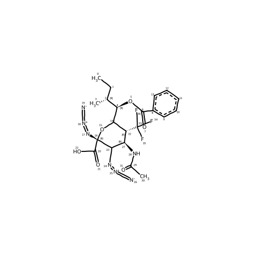 CC[C@@H](C)[C@@H](OC(=O)c1ccccc1)C1O[C@@](N=[N+]=[N-])(C(=O)O)C(N=[N+]=[N-])[C@H](NC(C)=O)[C@H]1C(F)(F)F